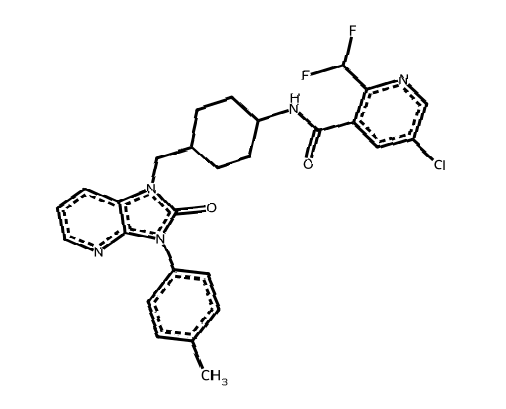 Cc1ccc(-n2c(=O)n(CC3CCC(NC(=O)c4cc(Cl)cnc4C(F)F)CC3)c3cccnc32)cc1